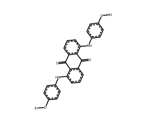 CCOc1ccc(Nc2cccc3c2C(=O)c2cccc(Nc4ccc(OCC)cc4)c2C3=O)cc1